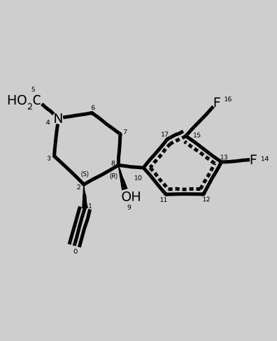 C#C[C@H]1CN(C(=O)O)CC[C@]1(O)c1ccc(F)c(F)c1